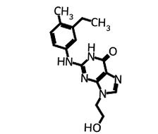 CCc1cc(Nc2nc3c(ncn3CCO)c(=O)[nH]2)ccc1C